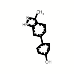 Cc1n[nH]c2cc(-c3ccc(O)cc3)ccc12